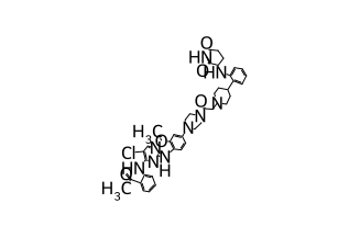 COc1cc(N2CCN(C(=O)CN3CCC(c4ccccc4NC4CCC(=O)NC4=O)CC3)CC2)ccc1Nc1ncc(Cl)c(Nc2ccccc2C(C)=O)n1